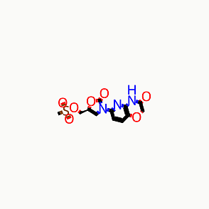 CS(=O)(=O)OC[C@@H]1CN(c2ccc3c(n2)NC(=O)CO3)C(=O)O1